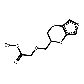 CCSC(=O)COCC1COc2cscc2O1